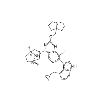 Fc1c(-c2c[nH]c3cccc(CC4CC4)c23)ccc2c(N3C[C@H]4CC[C@@H](C3)N4)nc(OCC34CCCN3CCC4)nc12